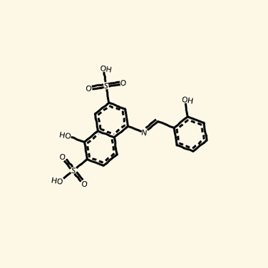 O=S(=O)(O)c1cc(N=Cc2ccccc2O)c2ccc(S(=O)(=O)O)c(O)c2c1